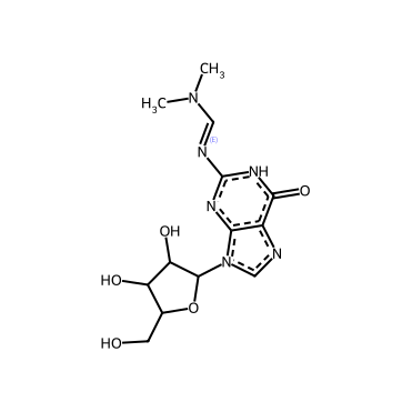 CN(C)/C=N/c1nc2c(ncn2C2OC(CO)C(O)C2O)c(=O)[nH]1